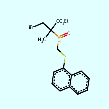 CCOC(=O)C(C)(CC(C)C)[PH](=O)CSc1cccc2ccccc12